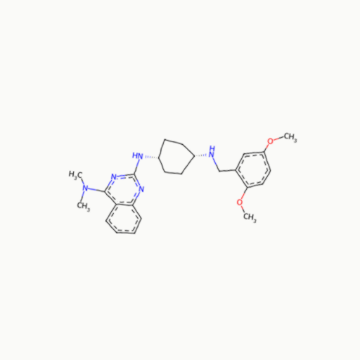 COc1ccc(OC)c(CN[C@H]2CC[C@@H](Nc3nc(N(C)C)c4ccccc4n3)CC2)c1